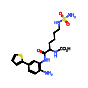 Nc1ccc(-c2cccs2)cc1NC(=O)C(CCCCNS(N)(=O)=O)NC(=O)O